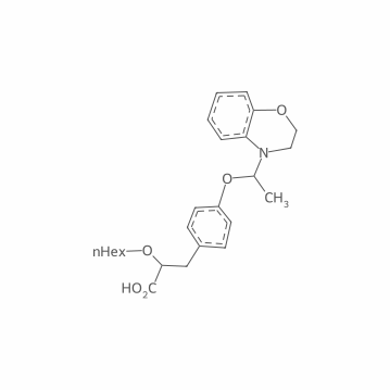 CCCCCCOC(Cc1ccc(OC(C)N2CCOc3ccccc32)cc1)C(=O)O